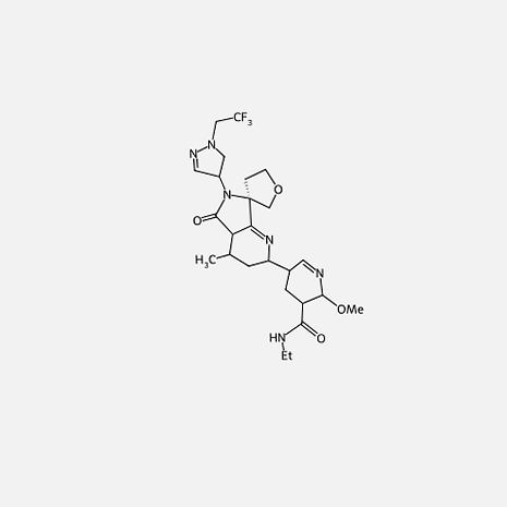 CCNC(=O)C1CC(C2CC(C)C3C(=O)N(C4C=NN(CC(F)(F)F)C4)[C@]4(CCOC4)C3=N2)C=NC1OC